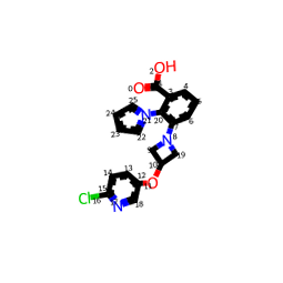 O=C(O)c1cccc(N2CC(Oc3ccc(Cl)nc3)C2)c1-n1cccc1